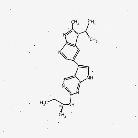 CC[C@H](C)Nc1ncc2c(-c3cnc4nc(C)n(C(C)C)c4c3)c[nH]c2n1